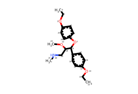 CCOc1ccc(OC(c2ccc(OCC)cc2)C(CNC)OC)cc1